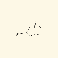 C#CC1CC(C)P(=O)(O)C1